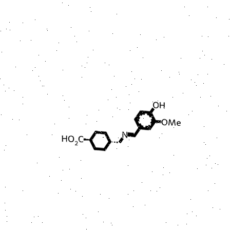 COc1cc(C=NC[C@H]2CC[C@H](C(=O)O)CC2)ccc1O